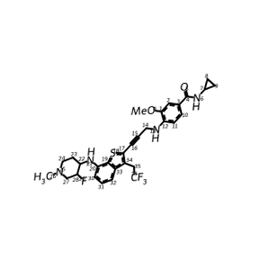 COc1cc(C(=O)NC2CC2)ccc1NCC#Cc1sc2c(NC3CCN(C)CC3F)cccc2c1CC(F)(F)F